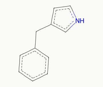 c1ccc(Cc2cc[nH]c2)cc1